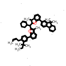 C/C=C\Cc1ccc(-c2cccc3c(C)c(C(C4C=CCCC4)C4Oc5c(-c6ccc7c(c6)C(C)(C)C6=C7C=CCC6)cccc5C4C)oc23)cc1C(C)(C)CC